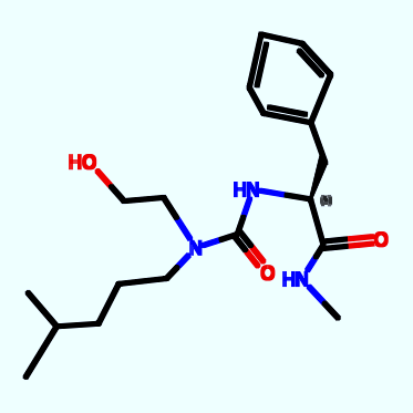 CNC(=O)[C@H](Cc1ccccc1)NC(=O)N(CCO)CCCC(C)C